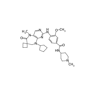 COc1cc(C(=O)NC2CCN(C)CC2)ccc1Nc1ncc2c(n1)N(C1CCCC1)CC1(CCC1)C(=O)N2C